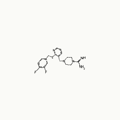 N=C(N)N1CCN(Cc2cccnc2SCc2ccc(F)c(F)c2)CC1